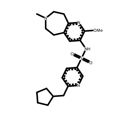 COc1nc2c(cc1NS(=O)(=O)c1ccc(CC3CCCC3)nc1)CCN(C)CC2